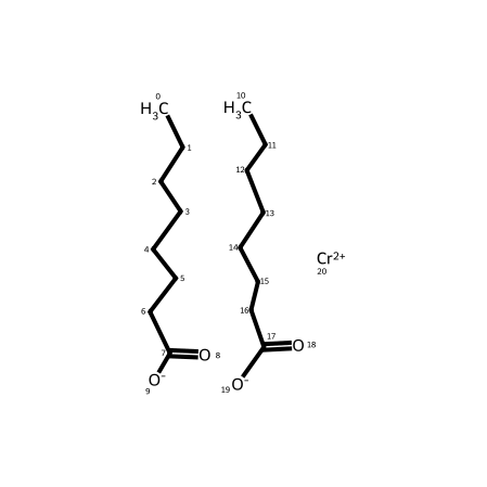 CCCCCCCC(=O)[O-].CCCCCCCC(=O)[O-].[Cr+2]